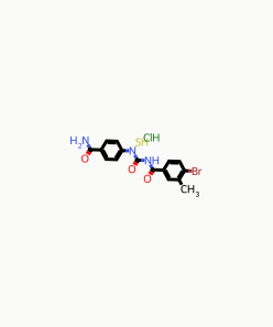 Cc1cc(C(=O)NC(=O)N(S)c2ccc(C(N)=O)cc2)ccc1Br.Cl